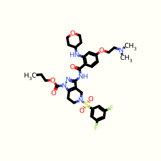 CCCOC(=O)n1nc(NC(=O)c2ccc(OCCN(C)C)cc2NC2CCOCC2)c2c1CCN(S(=O)(=O)c1cc(F)cc(F)c1)C2